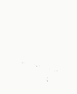 C#CCCCCC#Cc1cn([C@H]2C[C@H](O)[C@@H](C)O2)c(=O)[nH]c1=O